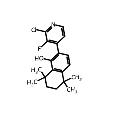 CC1(C)CCC(C)(C)c2c1ccc(-c1ccnc(Cl)c1F)c2O